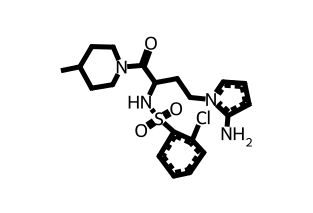 CC1CCN(C(=O)C(CCn2cccc2N)NS(=O)(=O)c2ccccc2Cl)CC1